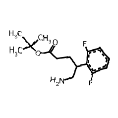 CC(C)(C)OC(=O)CCC(CN)c1c(F)cccc1F